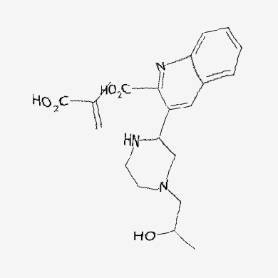 C=C(C)C(=O)O.CC(O)CN1CCNC(c2cc3ccccc3nc2C(=O)O)C1